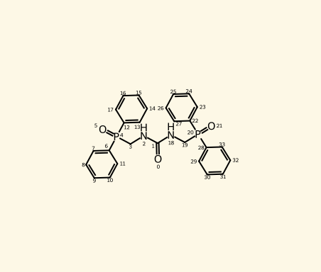 O=C(NCP(=O)(c1ccccc1)c1ccccc1)NCP(=O)(c1ccccc1)c1ccccc1